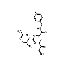 CC(=O)N[C@H](C(=O)N[C@@H](CCC(=O)C=N)C(=O)NCc1ccc(F)cc1)C(C)C